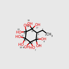 CCC1C(O)(O)C(O)(O)C(O)(O)C(O)(O)C1(O)O